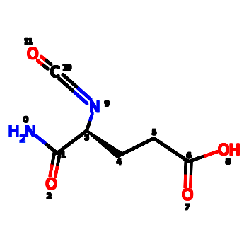 NC(=O)[C@H](CCC(=O)O)N=C=O